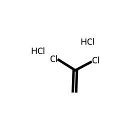 C=C(Cl)Cl.Cl.Cl